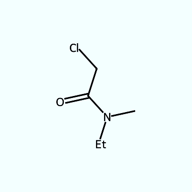 CCN(C)C(=O)CCl